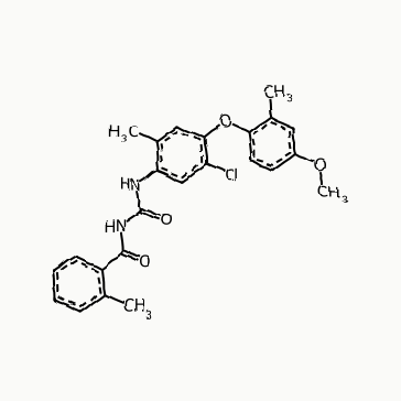 COc1ccc(Oc2cc(C)c(NC(=O)NC(=O)c3ccccc3C)cc2Cl)c(C)c1